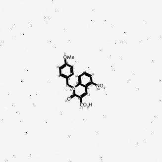 COc1ccc(Cn2c(=O)c(C(=O)O)cc3c([N+](=O)[O-])cccc32)cc1